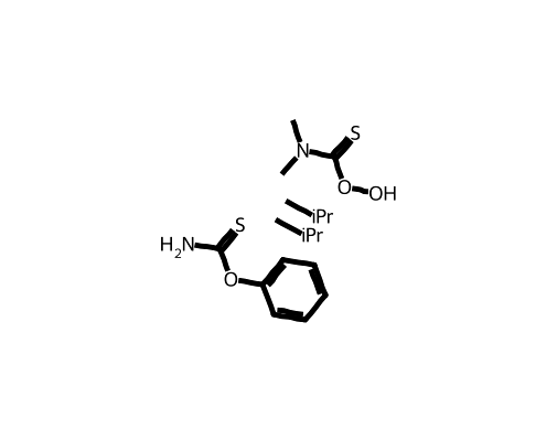 CC(C)C.CC(C)C.CN(C)C(=S)OO.NC(=S)Oc1ccccc1